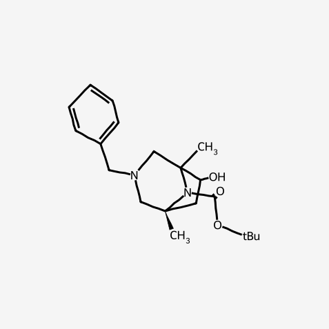 CC(C)(C)OC(=O)N1C2(C)CN(Cc3ccccc3)C[C@@]1(C)CC2O